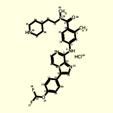 Cc1cc(Nc2nccn3c(-c4ccc(OC(F)F)cc4)cnc23)ccc1C(=O)N(C)CCC1CCNCC1.Cl